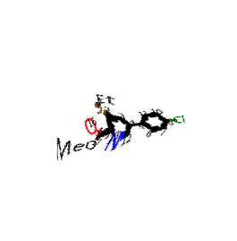 CCSc1cc(-c2ccc(Cl)cc2)cnc1C(=O)OC